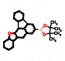 CC1(C)OB(c2cc3c4c(c5oc6ccccc6c5cc4c2)-c2ccccc2-3)OC1(C)C